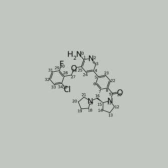 Nc1ncc(-c2ccc(C(=O)N3CCC[C@H]3CN3CCCC3)cc2)cc1OCc1c(F)cccc1Cl